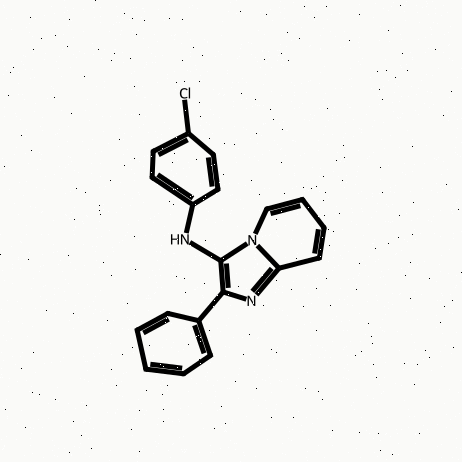 Clc1ccc(Nc2c(-c3ccccc3)nc3ccccn23)cc1